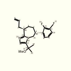 C=CC[C@H]1CC[C@H](c2cccc(F)c2F)Cn2c(C(C)(C)OC)cnc21